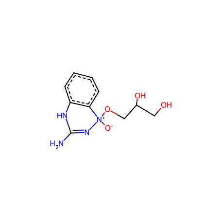 NC1=N[N+]([O-])(OCC(O)CO)c2ccccc2N1